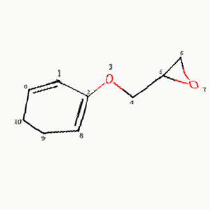 C1=CC(OCC2CO2)=CCC1